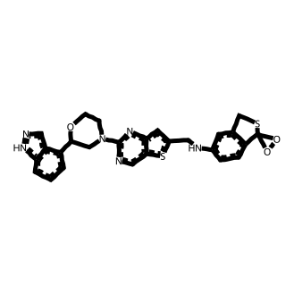 c1cc(C2CN(c3ncc4sc(CNc5ccc6c(c5)CSC65OO5)cc4n3)CCO2)c2cn[nH]c2c1